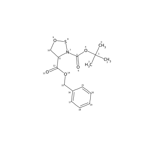 CC(C)(C)OC(=O)N1SOCC1C(=O)OCc1ccccc1